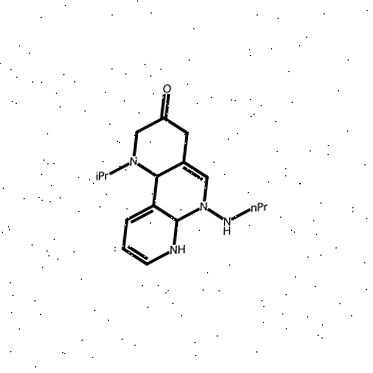 CCCNN1C=C2CC(=O)CN(C(C)C)C2C2=CC=CNC21